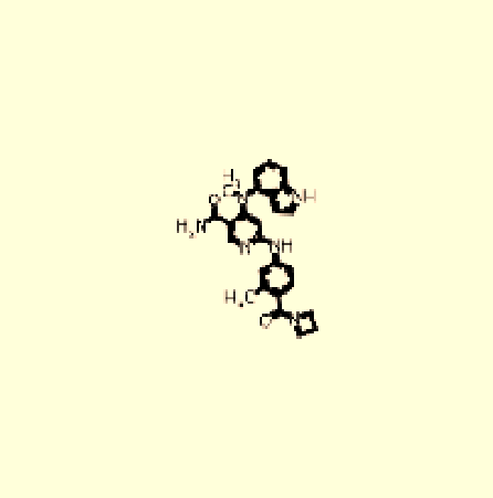 Cc1cc(Nc2cc(N(C)c3cccc4[nH]ccc34)c(C(N)=O)cn2)ccc1C(=O)N1CCC1